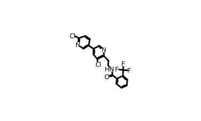 O=C(NCCc1ncc(-c2ccc(Cl)nc2)cc1Cl)c1ccccc1C(F)(F)F